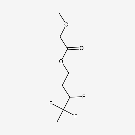 COCC(=O)OCCC(F)C(C)(F)F